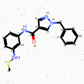 CSNc1cccc(NC(=O)c2cnn(Cc3ccccc3)c2)c1